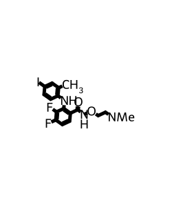 CNCCONC(=O)c1ccc(F)c(F)c1Nc1ccc(I)cc1C